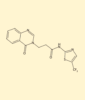 O=C(CCn1cnc2ccccc2c1=O)Nc1ncc(C(F)(F)F)s1